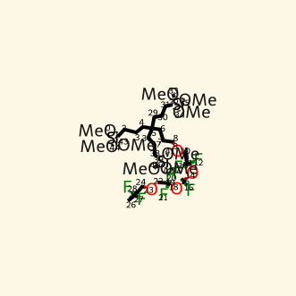 CO[Si](CCCC(CCCOCC(F)(F)OC(F)(F)OC(F)(F)COCC(C)(F)F)(CCC[Si](OC)(OC)OC)CCC[Si](OC)(OC)OC)(OC)OC